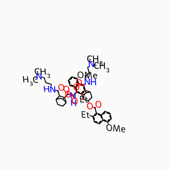 CCc1ccc2c(OC)cccc2c1C(=O)OC1CC2CCC1C(C(=O)NC(=O)C1C3CCC(CC3OC(=O)c3c(CC)ccc4c(OC)cccc34)C1C(=O)NCCCN(C)C)C2C(=O)NCCCN(C)C